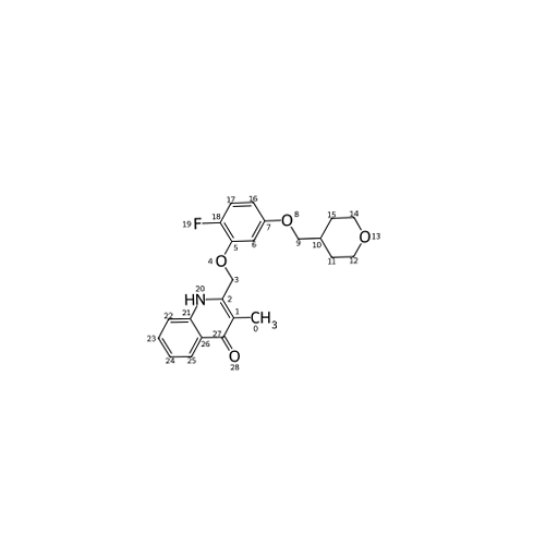 Cc1c(COc2cc(OCC3CCOCC3)ccc2F)[nH]c2ccccc2c1=O